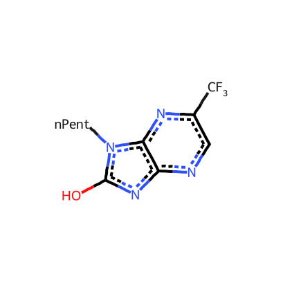 CCCCCn1c(O)nc2ncc(C(F)(F)F)nc21